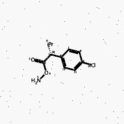 CC(C)[C@@H](C(=O)ON)c1ccc(Cl)cc1